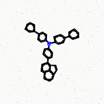 C1=Cc2c(-c3ccc(N(c4ccc(-c5ccccc5)cc4)c4ccc(-c5ccccc5)cc4)cc3)ccc3cccc1c23